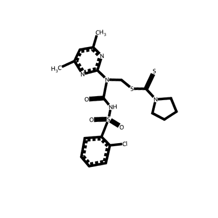 Cc1cc(C)nc(N(CSC(=S)N2CCCC2)C(=O)NS(=O)(=O)c2ccccc2Cl)n1